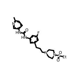 CCS(=O)(=O)N1CCN(CCCc2cc(F)cc(NC(=O)Nc3ccc(C)nc3)c2)CC1